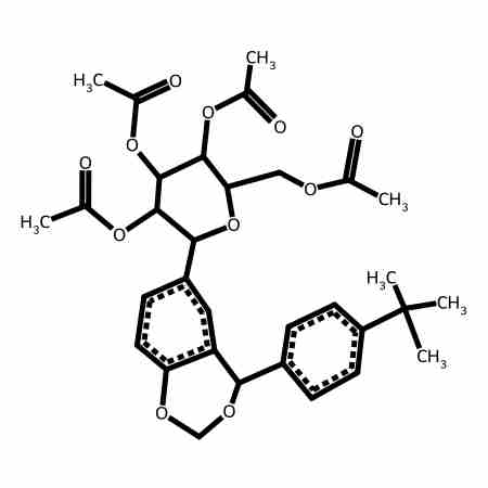 CC(=O)OCC1OC(c2ccc3c(c2)C(c2ccc(C(C)(C)C)cc2)OCO3)C(OC(C)=O)C(OC(C)=O)C1OC(C)=O